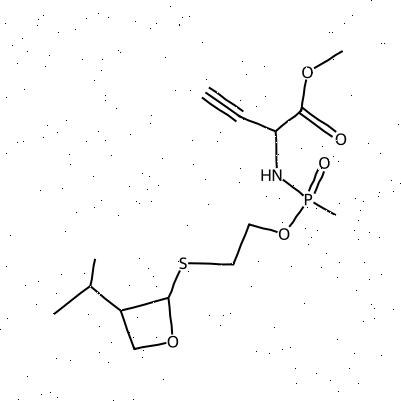 C#CC(NP(C)(=O)OCCSC1OCC1C(C)C)C(=O)OC